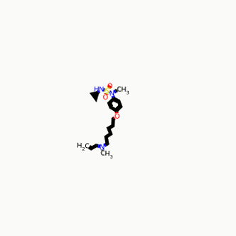 C=CCN(C)CCCCCCOc1ccc(N(C)S(=O)(=O)NC2CC2)cc1